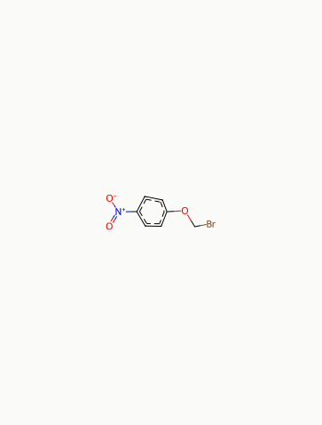 O=[N+]([O-])c1ccc(OCBr)cc1